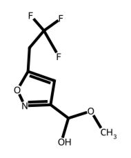 COC(O)c1cc(CC(F)(F)F)on1